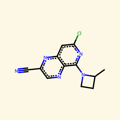 CC1CCN1c1nc(Cl)cc2nc(C#N)cnc12